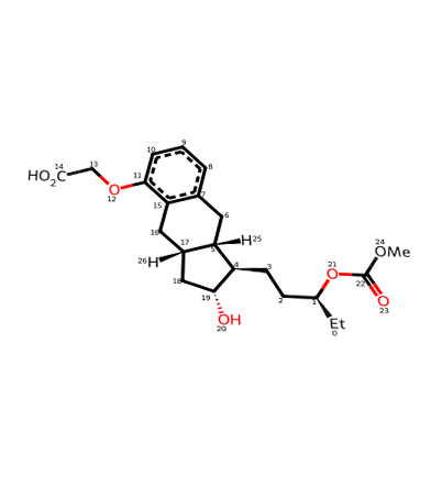 CC[C@@H](CC[C@@H]1[C@H]2Cc3cccc(OCC(=O)O)c3C[C@H]2C[C@H]1O)OC(=O)OC